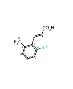 O=C(O)/C=C/c1c(F)cccc1C(F)(F)F